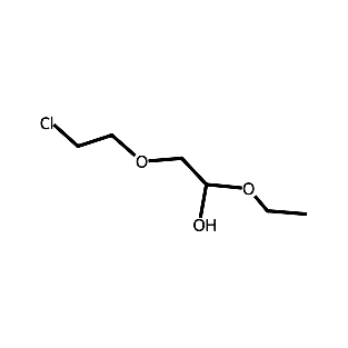 CCOC(O)COCCCl